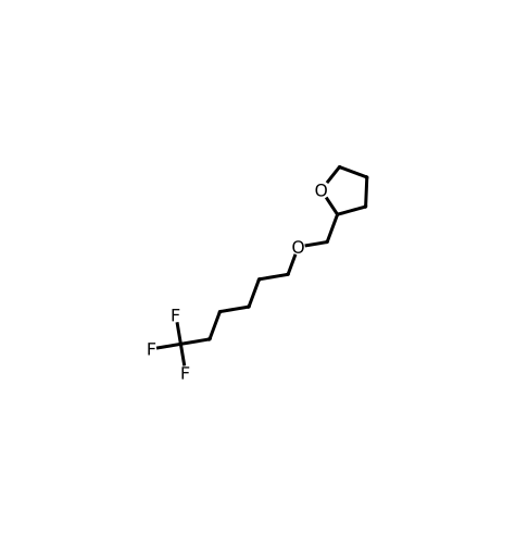 FC(F)(F)CCCCCOCC1CCCO1